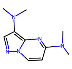 CN(C)c1ccn2ncc(N(C)C)c2n1